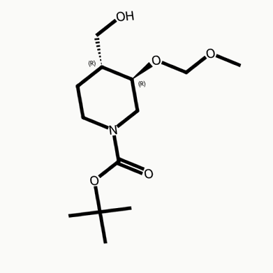 COCO[C@H]1CN(C(=O)OC(C)(C)C)CC[C@@H]1CO